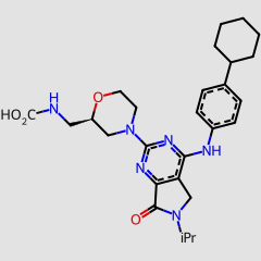 CC(C)N1Cc2c(Nc3ccc(C4CCCCC4)cc3)nc(N3CCO[C@H](CNC(=O)O)C3)nc2C1=O